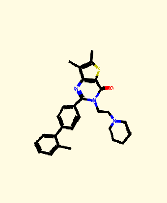 Cc1ccccc1-c1ccc(-c2nc3c(C)c(C)sc3c(=O)n2CCN2CCCCC2)cc1